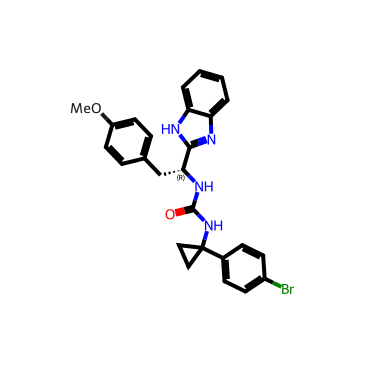 COc1ccc(C[C@@H](NC(=O)NC2(c3ccc(Br)cc3)CC2)c2nc3ccccc3[nH]2)cc1